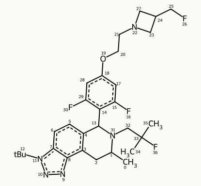 CC1Cc2c(ccc3c2nnn3C(C)(C)C)C(c2c(F)cc(OCCN3CC(CF)C3)cc2F)N1CC(C)(C)F